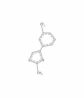 Cc1nc(-c2cccc(C(F)(F)F)c2)cs1